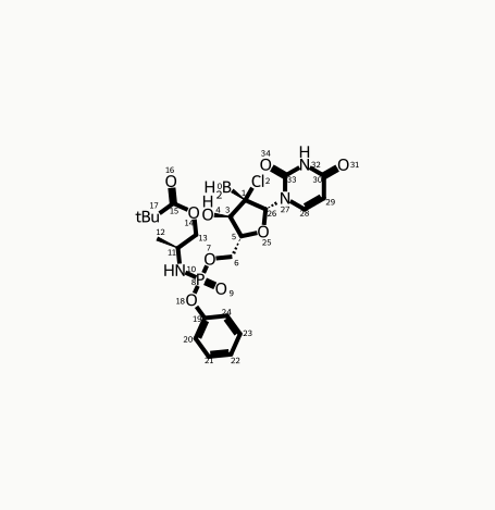 B[C@]1(Cl)[C@H](O)[C@@H](COP(=O)(N[C@@H](C)COC(=O)C(C)(C)C)Oc2ccccc2)O[C@H]1n1ccc(=O)[nH]c1=O